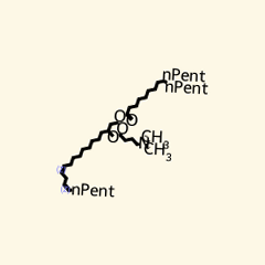 CCCCC/C=C\C/C=C\CCCCCCCCC(CCOC(=O)CCCCCCCC(CCCCC)CCCCC)OC(=O)CCCN(C)C